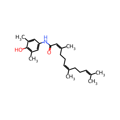 CC(C)=CCCC(C)=CCCC(C)=CC(=O)Nc1cc(C)c(O)c(C)c1